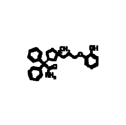 C[N+]1(CCCOc2ccccc2O)CC[C@@H](C(C(N)=O)(c2ccccc2)c2ccccc2)C1